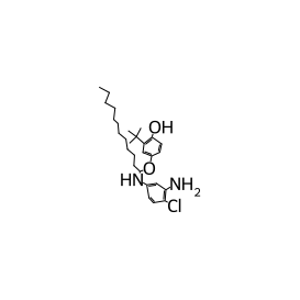 CCCCCCCCCCCC(Nc1ccc(Cl)c(N)c1)Oc1ccc(O)c(C(C)(C)C)c1